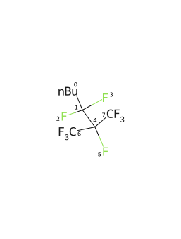 [CH2]CCCC(F)(F)C(F)(C(F)(F)F)C(F)(F)F